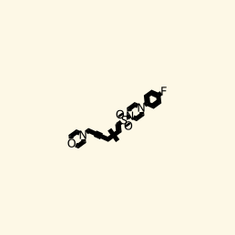 CC(C)(C=CS(=O)(=O)N1CCN(c2ccc(F)cc2)CC1)CC#CCN1CCOCC1